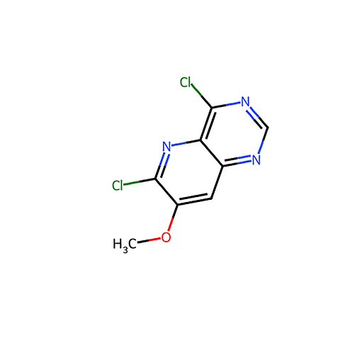 COc1cc2ncnc(Cl)c2nc1Cl